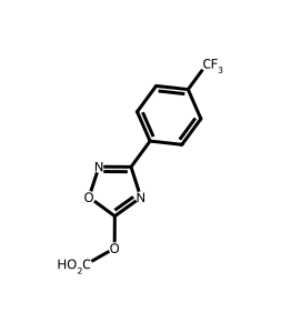 O=C(O)Oc1nc(-c2ccc(C(F)(F)F)cc2)no1